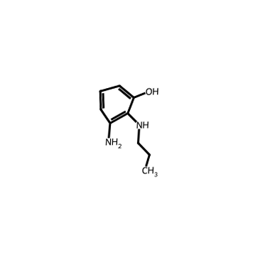 CCCNc1c(N)cccc1O